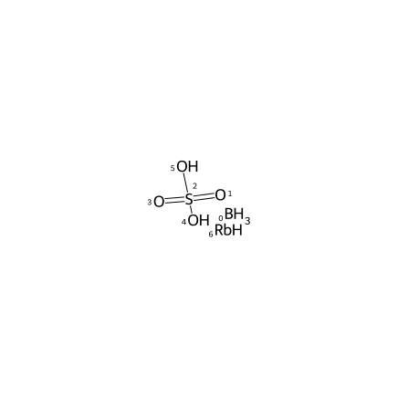 B.O=S(=O)(O)O.[RbH]